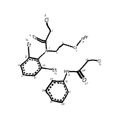 CCCOCCN(C(=O)CCl)c1c(CC)cccc1CC.O=C(CCl)Nc1ccccc1